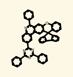 c1ccc(-c2nc(-c3ccccc3)nc(-c3ccc4nc(-c5ccccc5)c5cc6c(cc5c4c3)C3(c4ccccc4O6)c4ccccc4-c4ccccc43)n2)cc1